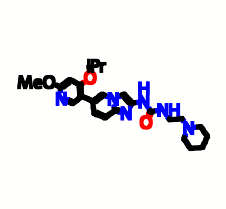 COc1cc(OC(C)C)c(-c2ccc3nc(NC(=O)NCCN4CCCCC4)cn3c2)cn1